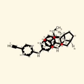 C#Cc1cnc(Nc2cc(NC3C[C@H]4CC[C@@H](C3)N4Cc3ccccc3)c(C(=O)OC)cn2)cn1